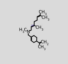 C=C(C)C1CC=C(CN(C)C/C=C(\C)CCC=C(C)C)CC1